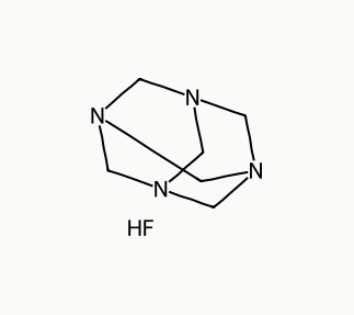 C1N2CN3CN1CN(C2)C3.F